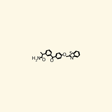 CC(C(N)=O)c1cccc(C(=O)c2ccc(OCc3nc4ccccc4s3)cc2)c1